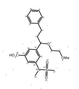 COCCOC(CCc1ccccc1)c1cc(C(=O)O)cc(N(C)S(C)(=O)=O)c1